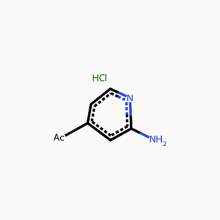 CC(=O)c1ccnc(N)c1.Cl